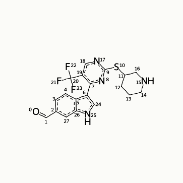 O=Cc1ccc2c(-c3nc(SC4CCCNC4)ncc3C(F)(F)F)c[nH]c2c1